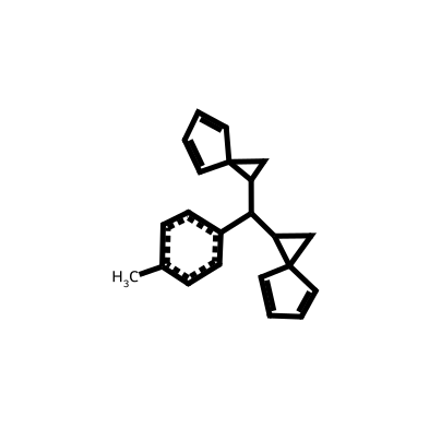 Cc1ccc(C(C2CC23C=CC=C3)C2CC23C=CC=C3)cc1